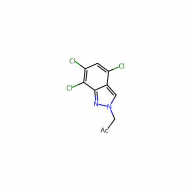 CC(=O)Cn1cc2c(Cl)cc(Cl)c(Cl)c2n1